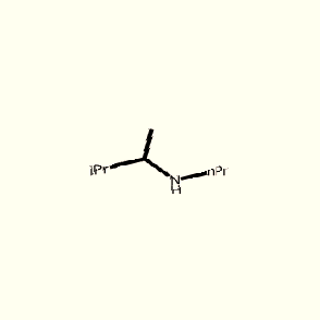 CCCNC(C)C(C)C